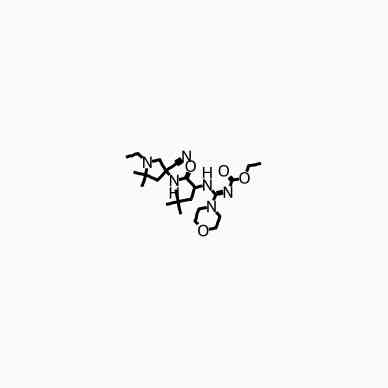 CCOC(=O)/N=C(\NC(CC(C)(C)C)C(=O)NC1(C#N)CN(CC)C(C)(C)C1)N1CCOCC1